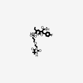 CCc1cc2c(C(=O)NC)c(-c3ccc(F)cc3)oc2nc1NS(=O)(=O)CCCOCCN1C(=O)NC(C)(C)C1=O